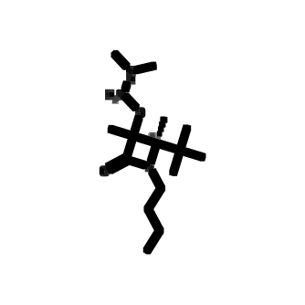 CCCCN1C(=O)C(C)(O[SiH2][SiH](C)C)[C@@]1(C)C(C)(C)C